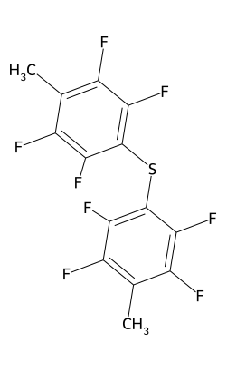 Cc1c(F)c(F)c(Sc2c(F)c(F)c(C)c(F)c2F)c(F)c1F